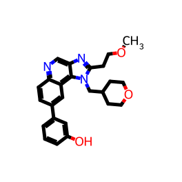 COCCc1nc2cnc3ccc(-c4cccc(O)c4)cc3c2n1CC1CCOCC1